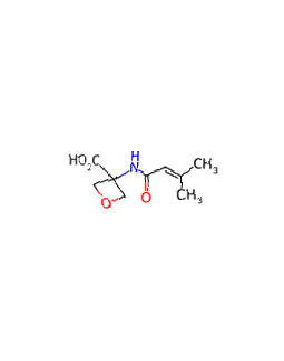 CC(C)=CC(=O)NC1(C(=O)O)COC1